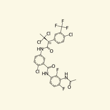 CC(=O)Nc1c(F)ccc(NC(=O)c2cc(NC(=O)[C@H](c3ccc(Cl)c(C(F)(F)F)c3)C(C)(Cl)Cl)ccc2Cl)c1F